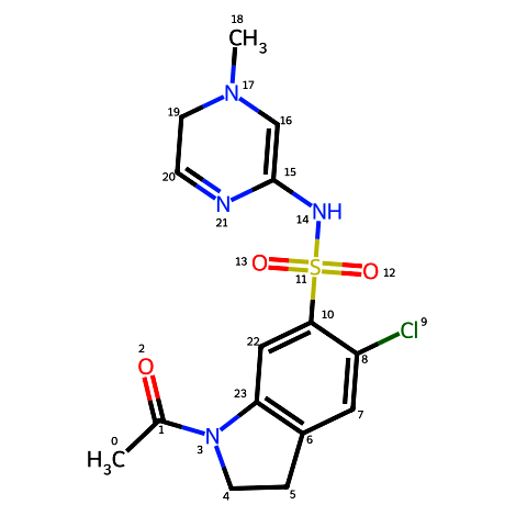 CC(=O)N1CCc2cc(Cl)c(S(=O)(=O)NC3=CN(C)CC=N3)cc21